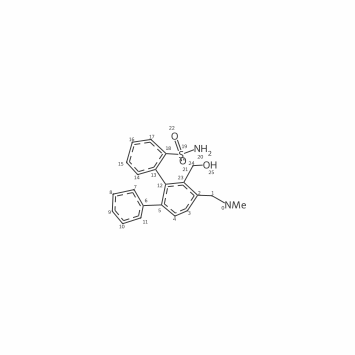 CNCc1ccc(-c2ccccc2)c(-c2ccccc2S(N)(=O)=O)c1CO